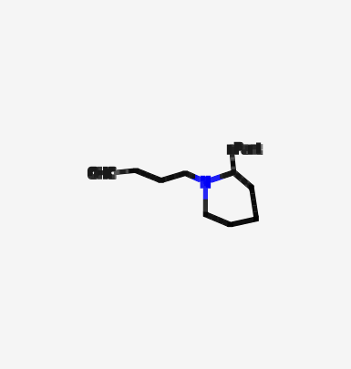 CCCCCC1CCCCN1CCCC=O